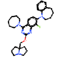 Fc1c(N2CCCCc3ccccc32)ccc2c(N3CCCCCC3)nc(OCC34CCCN3CCC4)nc12